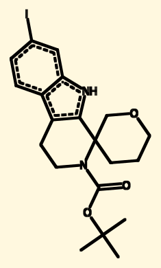 CC(C)(C)OC(=O)N1CCc2c([nH]c3cc(I)ccc23)C12CCCOC2